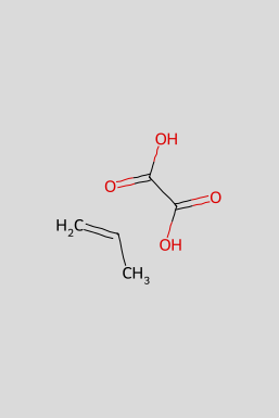 C=CC.O=C(O)C(=O)O